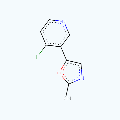 N#Cc1ncc(-c2[c]nccc2F)o1